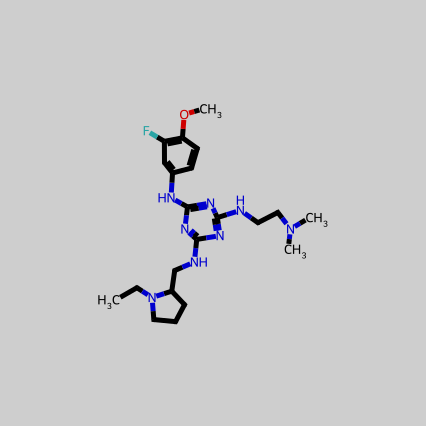 CCN1CCCC1CNc1nc(NCCN(C)C)nc(Nc2ccc(OC)c(F)c2)n1